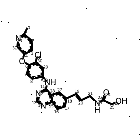 Cc1ccc(Oc2ccc(Nc3ncnc4ccc(C=CCNC(=O)CO)cc34)cc2Cl)cn1